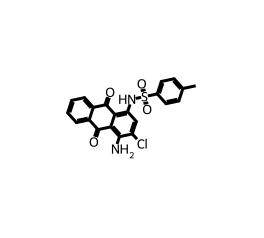 Cc1ccc(S(=O)(=O)Nc2cc(Cl)c(N)c3c2C(=O)c2ccccc2C3=O)cc1